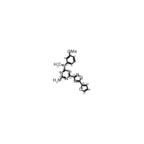 COc1cccc(N(C)c2nc(N)nc(-c3noc(-c4ccco4)n3)n2)c1